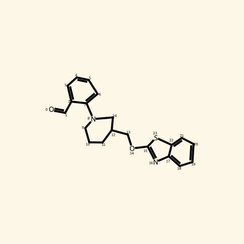 O=Cc1ccccc1N1CCCC(COc2nc3ccccc3s2)C1